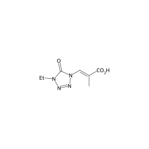 CCn1nnn(C=C(C)C(=O)O)c1=O